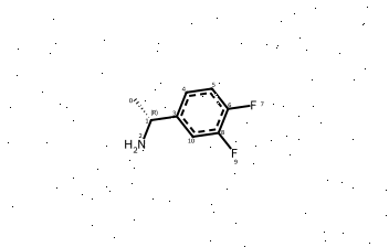 C[C@@H](N)c1ccc(F)c(F)c1